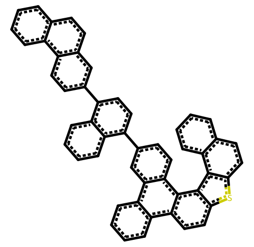 c1ccc2c(c1)ccc1cc(-c3ccc(-c4ccc5c(c4)c4ccccc4c4ccc6sc7ccc8ccccc8c7c6c45)c4ccccc34)ccc12